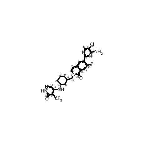 Nc1nc(-c2cc3ccn(CC4CCC[C@H](Nc5cn[nH]c(=O)c5C(F)(F)F)C4)c(=O)c3cc2F)ncc1Cl